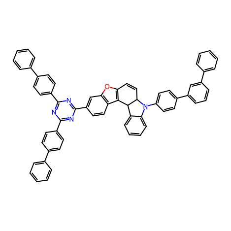 C1=CC2C(c3ccccc3N2c2ccc(-c3cccc(-c4ccccc4)c3)cc2)c2c1oc1cc(-c3nc(-c4ccc(-c5ccccc5)cc4)nc(-c4ccc(-c5ccccc5)cc4)n3)ccc21